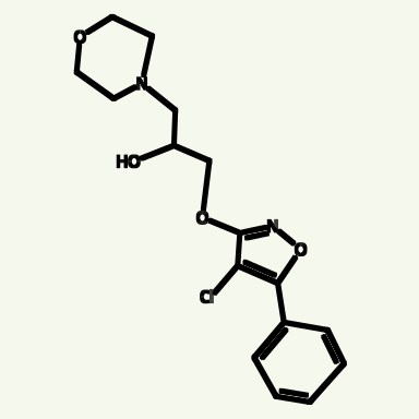 OC(COc1noc(-c2ccccc2)c1Cl)CN1CCOCC1